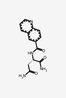 NC(=O)C[C@H](NC(=O)c1ccc2ncccc2c1)C(N)=O